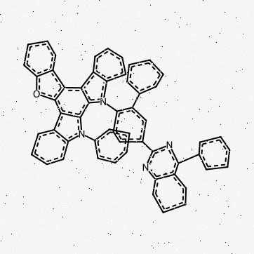 c1ccc(-c2cc(-c3nc(-c4ccccc4)c4ccccc4n3)ccc2-n2c3ccccc3c3c4c5ccccc5oc4c4c5ccccc5n(-c5ccccc5)c4c32)cc1